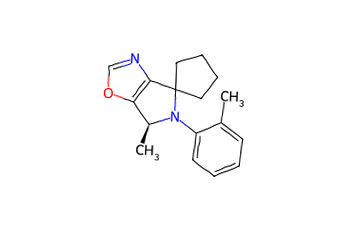 Cc1ccccc1N1[C@@H](C)c2ocnc2C12CCCC2